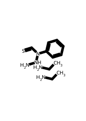 CCN.CCN.NNN(C=S)c1ccccc1